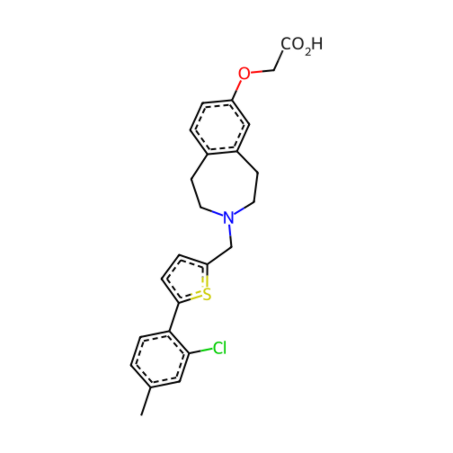 Cc1ccc(-c2ccc(CN3CCc4ccc(OCC(=O)O)cc4CC3)s2)c(Cl)c1